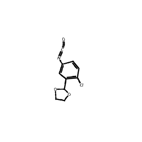 O=C=Nc1ccc(Cl)c(C2OCCO2)c1